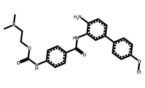 CCOc1ccc(-c2ccc(N)c(NC(=O)c3ccc(NC(=O)OCCN(C)C)cc3)c2)cc1